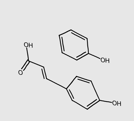 O=C(O)/C=C/c1ccc(O)cc1.Oc1ccccc1